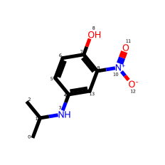 CC(C)Nc1ccc(O)c([N+](=O)[O-])c1